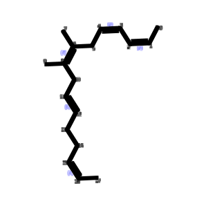 C/C=C\C=C/C/C(C)=C(/C)C/C=C/CC/C=C\C